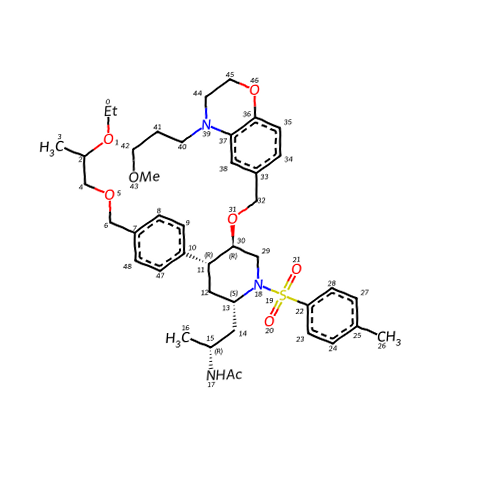 CCOC(C)COCc1ccc([C@H]2C[C@@H](C[C@@H](C)NC(C)=O)N(S(=O)(=O)c3ccc(C)cc3)C[C@@H]2OCc2ccc3c(c2)N(CCCOC)CCO3)cc1